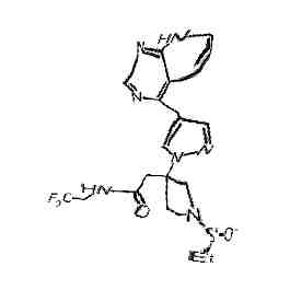 CC[S+]([O-])N1CC(CC(=O)NCC(F)(F)F)(n2cc(-c3ncnc4[nH]ccc34)cn2)C1